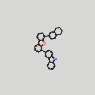 c1ccc2c(c1)[nH]c1ccc(-c3cccc4c3oc3c(-c5ccc6c(c5)CCCC6)cccc34)cc12